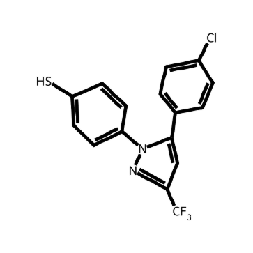 FC(F)(F)c1cc(-c2ccc(Cl)cc2)n(-c2ccc(S)cc2)n1